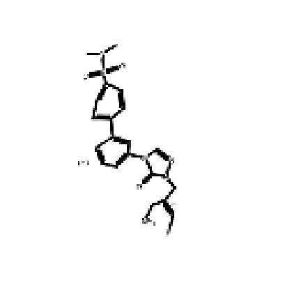 CN(C)S(=O)(=O)c1ccc(-c2cccc(-n3cnn(C/C(=C/F)CN)c3=O)c2)cc1.Cl